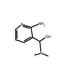 CN(I)C(O)c1cccnc1N